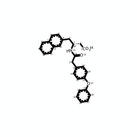 O=C(O)C[C@@H](Cc1ccc2ccccc2c1)NC(=O)Cc1ccc(Oc2ccccc2)cc1